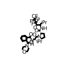 CC(C)C(NC(=O)[C@@H]1CCCN1C(=O)[C@@H](NC(=O)c1ccccc1C(=O)N1CCOCC1)C(C)C)C(=O)C(F)(F)C(F)(F)C(F)(F)F